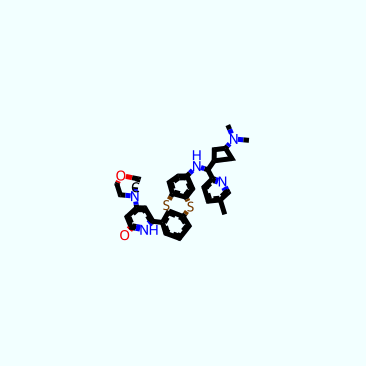 Cc1ccc(C(Nc2ccc3c(c2)Sc2cccc(-c4cc(N5CCOCC5)cc(=O)[nH]4)c2S3)C2CC(N(C)C)C2)nc1